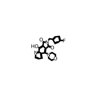 O=C1c2c(c(O)c3ncccc3c2N2CCOCC2)C(=O)N1Cc1ccc(F)cc1